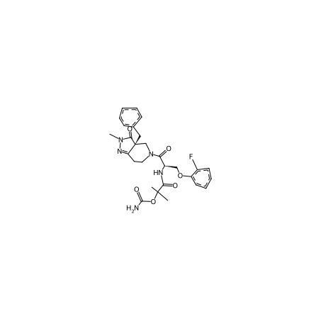 CN1N=C2CCN(C(=O)[C@@H](COc3ccccc3F)NC(=O)C(C)(C)OC(N)=O)C[C@@]2(Cc2ccccc2)C1=O